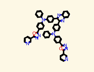 c1ccc(N(c2ccc(-c3nnc(-c4cccnc4)o3)cc2)c2ccc(-c3nc4ccccc4nc3-c3ccc(N(c4ccccc4)c4ccc(-c5nnc(-c6cccnc6)o5)cc4)cc3)cc2)cc1